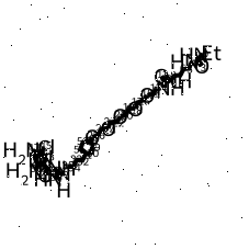 CCNC(=O)NCCCCNC(=O)NCCOCCOCCOCCOCCOc1ccc(CCCCNC(=N)NC(=O)c2nc(Cl)c(N)nc2N)cc1